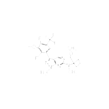 COCC1(N(C)c2ncc3c(-c4cc(C(F)(F)F)c(F)c(O)c4F)nn(C)c3n2)CCC1